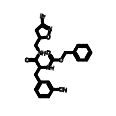 O=C(NC(Cc1cccc(O)c1)C(=O)NCC1CC(Br)=NO1)OCc1ccccc1